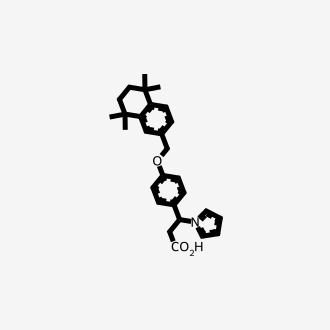 CC1(C)CCC(C)(C)c2cc(COc3ccc(C(CC(=O)O)n4cccc4)cc3)ccc21